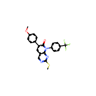 COc1ccc(-c2cc3cnc(SC)nc3n(-c3ccc(C(F)(F)F)cc3)c2=O)cc1